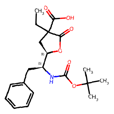 CCC1(C(=O)O)C[C@H]([C@H](Cc2ccccc2)NC(=O)OC(C)(C)C)OC1=O